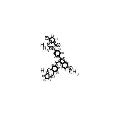 COc1ccc2c(Cc3ccc(CN4CCCC4)c(C)c3)c(-c3ccc(N(C)C(=O)C4CCC(=O)N4C)cc3)sc2c1